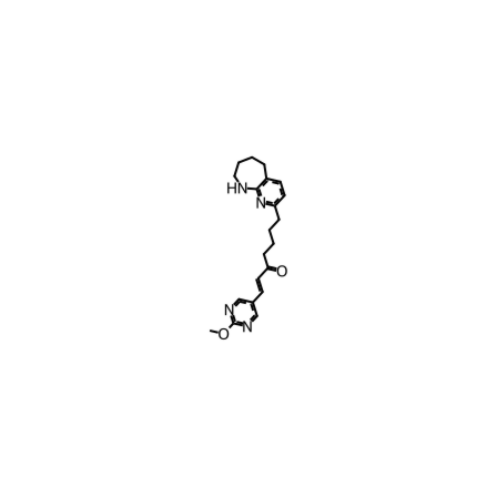 COc1ncc(C=CC(=O)CCCCc2ccc3c(n2)NCCCC3)cn1